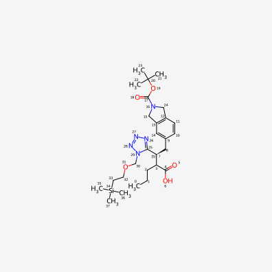 CCCC(C(=O)O)[C@H](Cc1ccc2c(c1)CN(C(=O)OC(C)(C)C)C2)c1nnnn1COCC[Si](C)(C)C